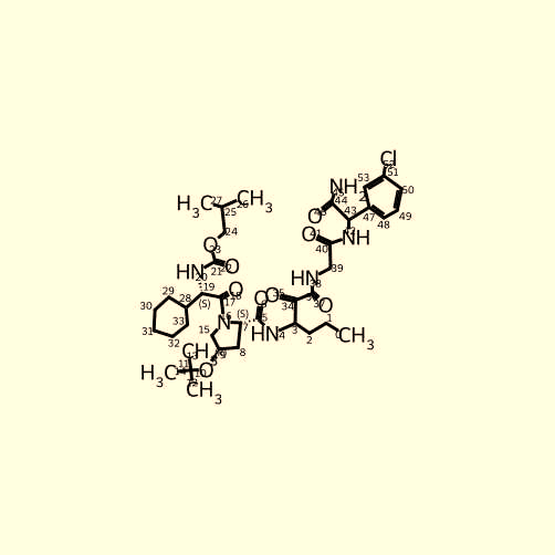 CCCC(NC(=O)[C@@H]1C[C@@H](OC(C)(C)C)CN1C(=O)[C@@H](NC(=O)OCC(C)C)C1CCCCC1)C(=O)C(=O)NCC(=O)NC(C(N)=O)c1cccc(Cl)c1